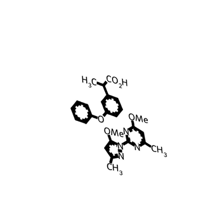 CC(C(=O)O)c1cccc(Oc2ccccc2)c1.COc1cc(C)nc(-n2nc(C)cc2OC)n1